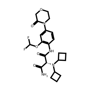 NC(=O)[C@H](C(=O)Nc1ccc(N2CCOCC2=O)cc1OC(F)F)N(C1CCC1)C1CCC1